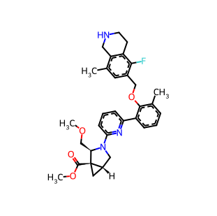 COC[C@H]1N(c2cccc(-c3cccc(C)c3OCc3cc(C)c4c(c3F)CCNC4)n2)C[C@@H]2C[C@@]21C(=O)OC